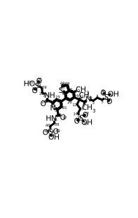 C/C(=N\CCCS(=O)(=O)O)C(C)(CCCS(=O)(=O)O)c1cc(-c2cc(C(=O)NCCS(=O)(=O)O)nc(C(=O)NCCS(=O)(=O)O)c2)c2sccc2c1C